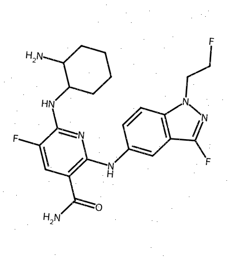 NC(=O)c1cc(F)c(NC2CCCCC2N)nc1Nc1ccc2c(c1)c(F)nn2CCF